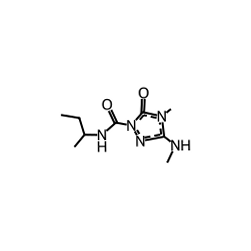 CCC(C)NC(=O)n1nc(NC)n(C)c1=O